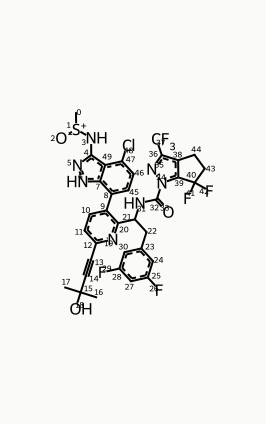 C[S+]([O-])Nc1n[nH]c2c(-c3ccc(C#CC(C)(C)O)nc3C(Cc3cc(F)cc(F)c3)NC(=O)n3nc(C(F)(F)F)c4c3C(F)(F)CC4)ccc(Cl)c12